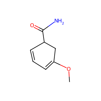 COC1=CC=CC(C(N)=O)C1